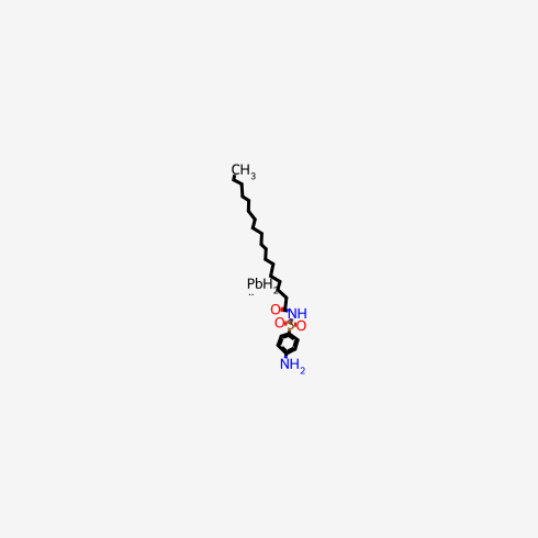 CCCCCCCCCCCCCCCCCC(=O)NS(=O)(=O)c1ccc(N)cc1.[PbH2]